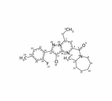 CCc1cc(C(=O)N2CCCCCC2C)nc2c(Cl)c(-c3ccc(C)cc3F)nn12